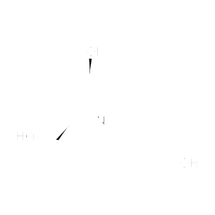 OCCCN1C[C@H](O)C[C@@H]1CO